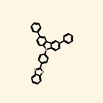 c1ccc(-c2ccc3c(c2)c2cc(-c4ccccc4)ccc2n3-c2ccc(-c3nc4ccccc4o3)cc2)cc1